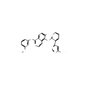 CCOc1cccc(Nc2nccc3c(Nc4ncccc4-c4cc(NC)ncn4)c(C)ccc23)c1